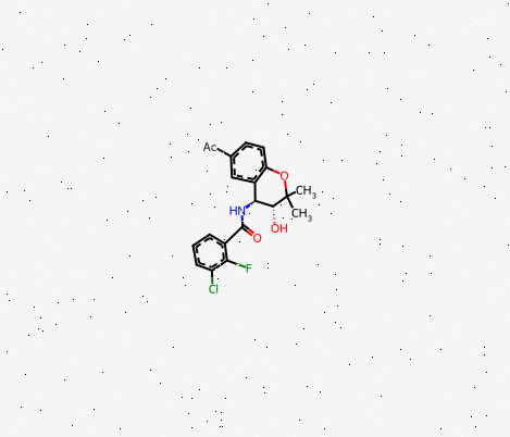 CC(=O)c1ccc2c(c1)[C@H](NC(=O)c1cccc(Cl)c1F)[C@@H](O)C(C)(C)O2